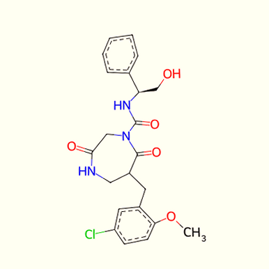 COc1ccc(Cl)cc1CC1CNC(=O)CN(C(=O)N[C@H](CO)c2ccccc2)C1=O